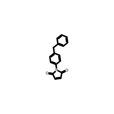 O=C1C=CC(=O)N1c1ccc(Cc2ccccc2)cc1